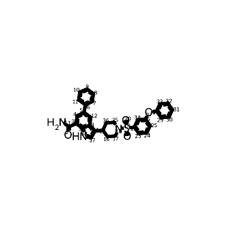 NC(=O)c1cc(-c2ccccc2)cc2c(C3CCN(S(=O)(=O)c4cccc(Oc5ccccc5)c4)CC3)c[nH]c12